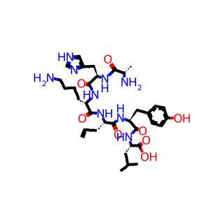 C=CC[C@H](NC(=O)[C@H](CCCCN)NC(=O)[C@@H](Cc1c[nH]cn1)NC(=O)[C@H](C)N)C(=O)N[C@@H](Cc1ccc(O)cc1)C(=O)N[C@@H](CC(C)C)C(=O)O